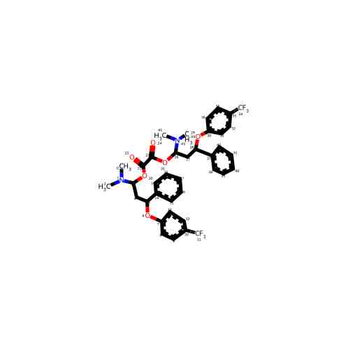 CN(C)C(CC(Oc1ccc(C(F)(F)F)cc1)c1ccccc1)OC(=O)C(=O)OC(CC(Oc1ccc(C(F)(F)F)cc1)c1ccccc1)N(C)C